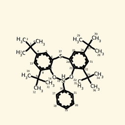 CC(C)(C)c1cc2c(c(C(C)(C)C)c1)O[SiH](c1ccccc1)Oc1c(cc(C(C)(C)C)cc1C(C)(C)C)S2